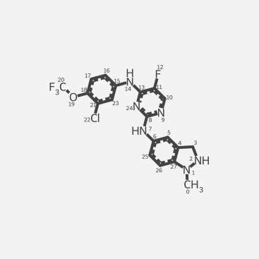 CN1NCc2cc(Nc3ncc(F)c(Nc4ccc(OC(F)(F)F)c(Cl)c4)n3)ccc21